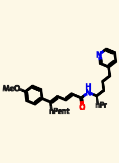 CCCCC/C(=C\C=C\C(=O)N[C@H](CCC)CCCc1cccnc1)c1ccc(OC)cc1